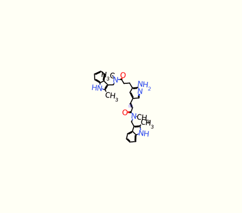 Cc1[nH]c2ccccc2c1CN(C)C(=O)/C=C/c1cnc(N)c(CCC(=O)N(C)Cc2c(C)[nH]c3ccccc23)c1